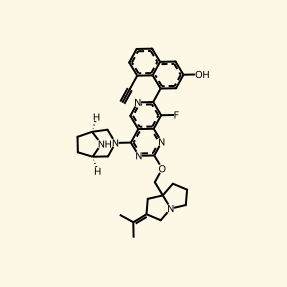 C#Cc1cccc2cc(O)cc(-c3ncc4c(N5C[C@H]6CC[C@@H](C5)N6)nc(OCC56CCCN5CC(=C(C)C)C6)nc4c3F)c12